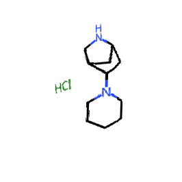 C1CCN(C2CC3CC2CN3)CC1.Cl